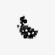 COC(=O)CC[C@@H](C)C1CCC2C3C(=O)C[C@@H]4CCCC[C@]4(C)C3CC[C@@]21C